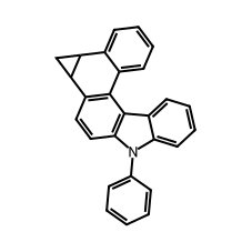 c1ccc(-n2c3ccccc3c3c4c(ccc32)C2CC2c2ccccc2-4)cc1